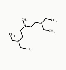 CCP(CC)CCN(C)CCP(CC)CC